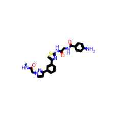 CNC(=O)Cn1ccc(-c2cccc(-c3csc(NC(=O)CNC(=O)c4ccc(N)cc4)n3)c2)n1